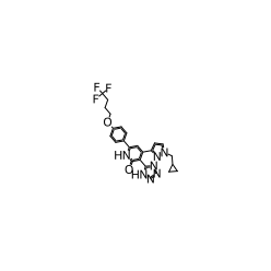 O=c1[nH]c(-c2ccc(OCCCC(F)(F)F)cc2)cc(-c2ccn(CC3CC3)n2)c1-c1nnn[nH]1